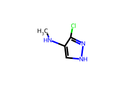 CNc1c[nH]nc1Cl